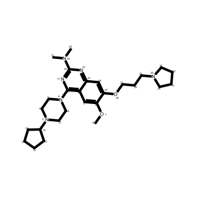 COc1cc2c(N3CCN(C4CCCC4)CC3)nc(N(C)C)nc2cc1OCCCN1CCCC1